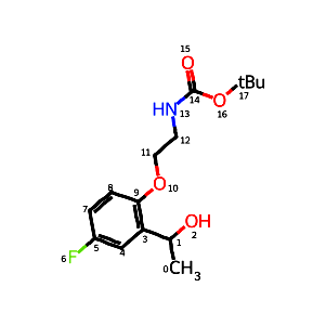 CC(O)c1cc(F)ccc1OCCNC(=O)OC(C)(C)C